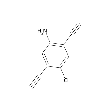 C#Cc1cc(Cl)c(C#C)cc1N